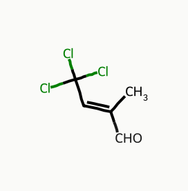 CC(C=O)=CC(Cl)(Cl)Cl